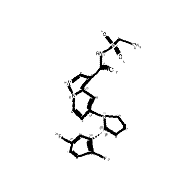 CCS(=O)(=O)NC(=O)c1cnn2ccc(N3CCC[C@@H]3c3cc(F)ccc3F)cc12